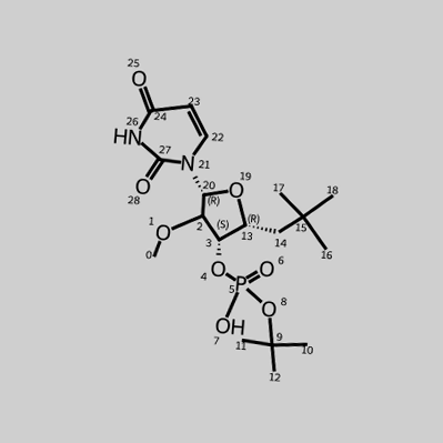 COC1[C@@H](OP(=O)(O)OC(C)(C)C)[C@@H](CC(C)(C)C)O[C@H]1n1ccc(=O)[nH]c1=O